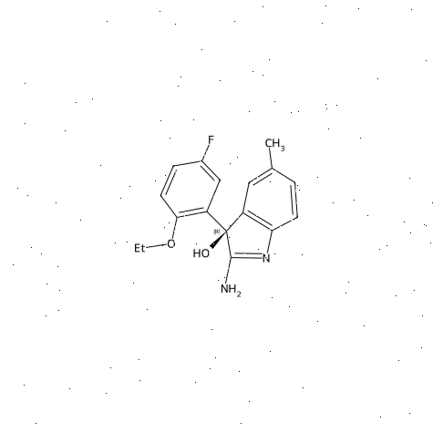 CCOc1ccc(F)cc1[C@@]1(O)C(N)=Nc2ccc(C)cc21